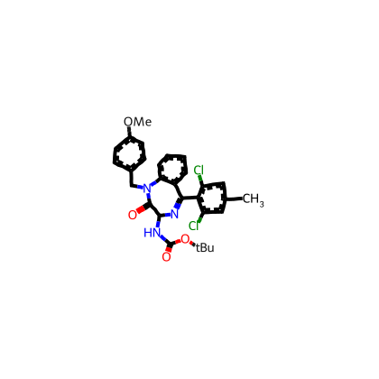 COc1ccc(CN2C(=O)C(NC(=O)OC(C)(C)C)N=C(c3c(Cl)cc(C)cc3Cl)c3ccccc32)cc1